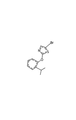 CC(C)c1ccccc1Oc1ncc(Br)s1